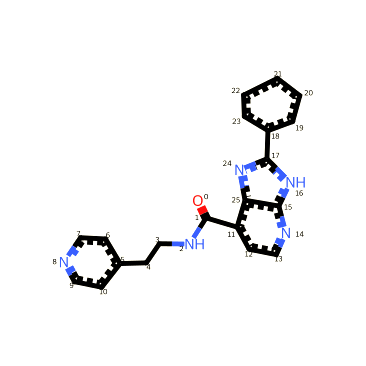 O=C(NCCc1ccncc1)c1ccnc2[nH]c(-c3ccccc3)nc12